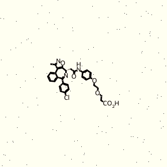 Cc1noc2c1-c1ccccc1C(c1ccc(Cl)cc1)=N[C@H]2CC(=O)Nc1ccc(OCCOCCC(=O)O)cc1